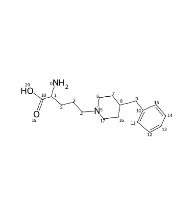 NC(CCCN1CCC(Cc2ccccc2)CC1)C(=O)O